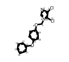 Clc1ncn(COc2ccc(Oc3ccccc3)cc2)c1Cl